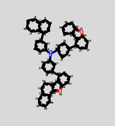 c1cc(-c2cccc3ccccc23)cc(N(c2ccc(-c3cccc4oc5ccccc5c34)cc2)c2cccc(-c3cccc4oc5c6ccccc6ccc5c34)c2)c1